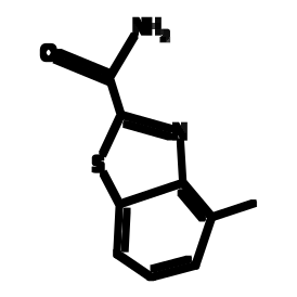 Cc1cccc2sc(C(N)=O)nc12